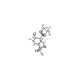 Cc1cc2c(cnn2PI)c(B2OC(C)(C)C(C)(C)O2)c1Cl